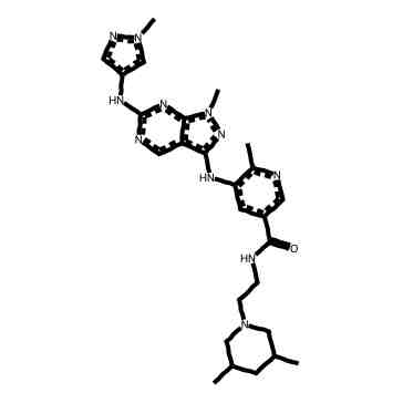 Cc1ncc(C(=O)NCCN2CC(C)CC(C)C2)cc1Nc1nn(C)c2nc(Nc3cnn(C)c3)ncc12